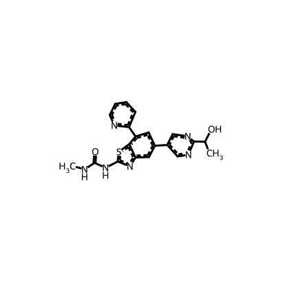 CNC(=O)Nc1nc2cc(-c3cnc(C(C)O)nc3)cc(-c3ccccn3)c2s1